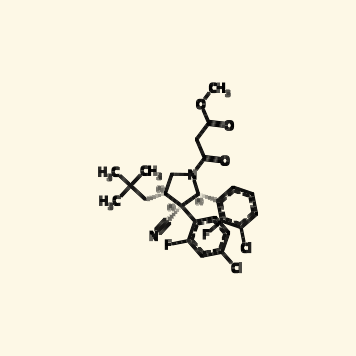 COC(=O)CC(=O)N1C[C@@H](CC(C)(C)C)[C@](C#N)(c2ccc(Cl)cc2F)[C@H]1c1cccc(Cl)c1F